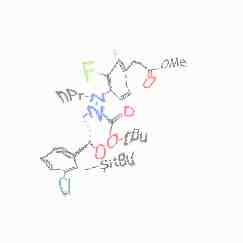 CCCN(c1ccc(CC(=O)OC)c(F)c1F)N(C[C@H](O[Si](C)(C)C(C)(C)C)c1cccc(Cl)c1)C(=O)OC(C)(C)C